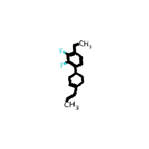 C/C=C/C1=CCC(c2ccc(CC)c(F)c2F)CC1